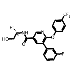 CC[C@@H](CO)NC(=O)c1cnc(Oc2ccc(C(F)(F)F)cc2)c(-c2cccc(F)c2)c1